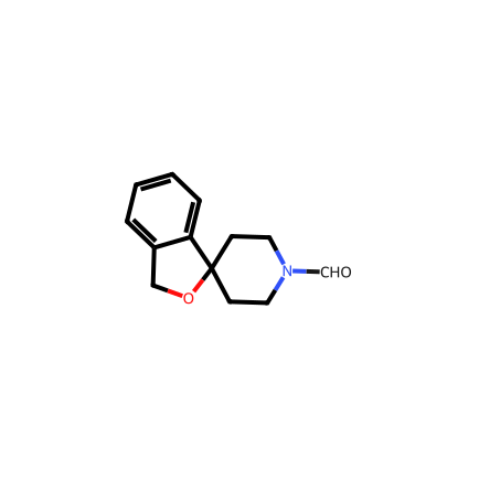 O=CN1CCC2(CC1)OCc1ccccc12